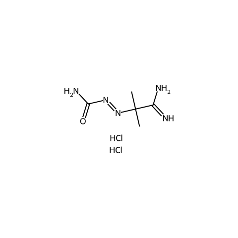 CC(C)(/N=N/C(N)=O)C(=N)N.Cl.Cl